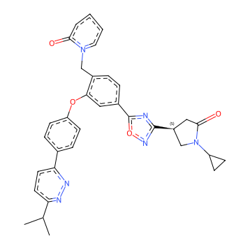 CC(C)c1ccc(-c2ccc(Oc3cc(-c4nc([C@H]5CC(=O)N(C6CC6)C5)no4)ccc3Cn3ccccc3=O)cc2)nn1